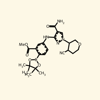 COC(=O)c1cc(Nc2nn(C3COCCC3C#N)cc2C(N)=O)ccc1B1OC(C)(C)C(C)(C)O1